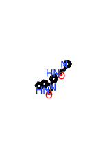 O=C(CCc1ccccn1)Nc1ccc(C2=NCC(=O)Nc3c2ccc2ccccc32)cc1